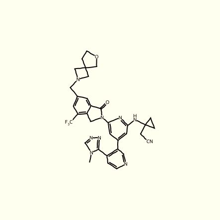 Cn1cnnc1-c1ccncc1-c1cc(NC2(CC#N)CC2)nc(N2Cc3c(cc(CN4CC5(CCOC5)C4)cc3C(F)(F)F)C2=O)c1